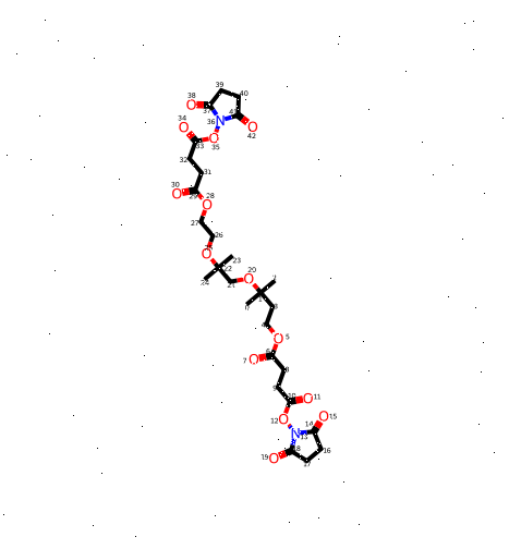 CC(C)(CCOC(=O)CCC(=O)ON1C(=O)CCC1=O)OCC(C)(C)OCCOC(=O)CCC(=O)ON1C(=O)CCC1=O